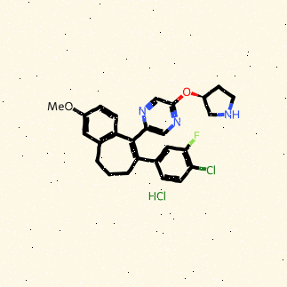 COc1ccc2c(c1)CCCC(c1ccc(Cl)c(F)c1)=C2c1cnc(O[C@H]2CCNC2)cn1.Cl